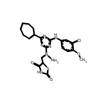 COc1ccc(Nc2nc(C3CCCCCC3)nc(N(N)CC3SC(=O)NC3=O)n2)cc1Cl